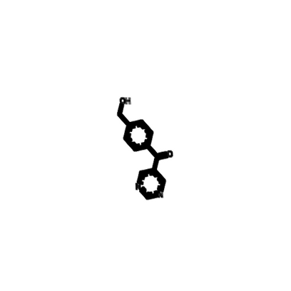 O=C(c1ccc(CO)cc1)c1cncnc1